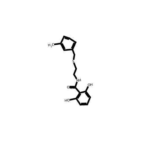 Cc1cccc(CSCCNC(=O)c2c(O)cccc2O)c1